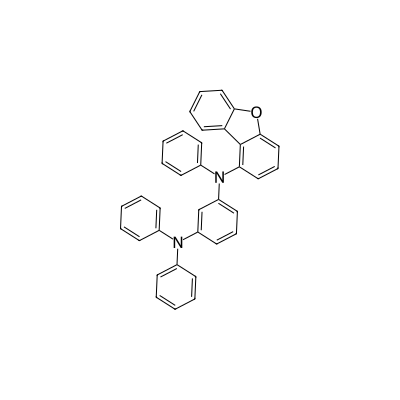 c1ccc(N(c2ccccc2)c2cccc(N(c3ccccc3)c3cccc4oc5ccccc5c34)c2)cc1